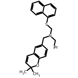 CC(C)CN(CSc1cccc2ccccc12)Cc1ccc2c(c1)C=CC(C)(C)O2